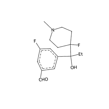 CCC(O)(c1cc(F)cc(C=O)c1)C1(F)CCN(C)CC1